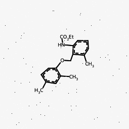 CCOC(=O)Nc1cccc(C)c1COc1ccc(C)cc1C